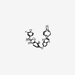 O=C(Nc1ccc(Cl)c(F)c1)Nc1ccc(Oc2ccc3ncc(N4CCNCC4)nc3c2)c(F)c1F